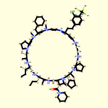 CCC[C@@H]1NC[C@H]([C@@H](C)CC)NC(C)[C@H](C)N2CCCC2=CN(C)C(CC2CCCCC2)=CN(C)C=CN=C(CCc2ccc(C(F)(F)F)c(Cl)c2)C=CNCCNCC2(CCCC2)NC(C)[C@H](C2CCCC2)N2C(C)[C@H](C(=O)N3CCCCC3)C2CNC1C